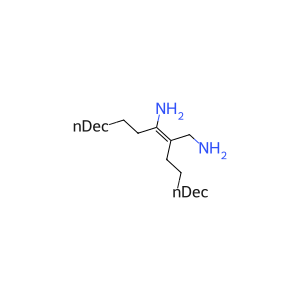 CCCCCCCCCCCCC(N)=C(CN)CCCCCCCCCCCC